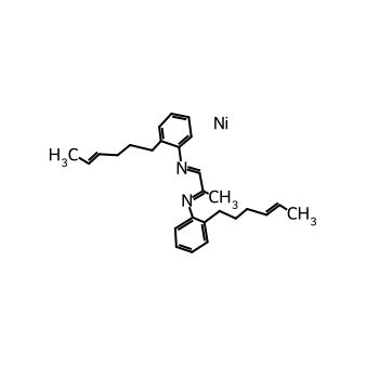 CC=CCCCc1ccccc1N=CC(C)=Nc1ccccc1CCCC=CC.[Ni]